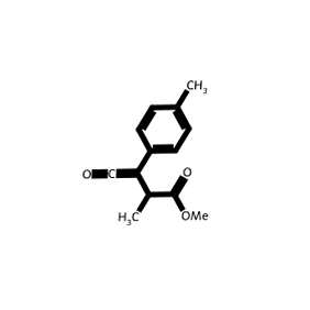 COC(=O)C(C)C(=C=O)c1ccc(C)cc1